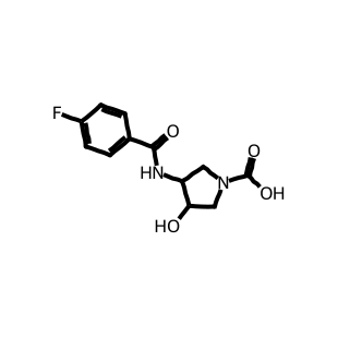 O=C(NC1CN(C(=O)O)CC1O)c1ccc(F)cc1